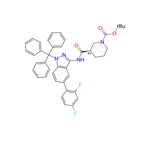 CC(C)(C)OC(=O)N1CCC[C@@H](C(=O)Nc2nn(C(c3ccccc3)(c3ccccc3)c3ccccc3)c3ccc(-c4ccc(F)cc4F)cc23)C1